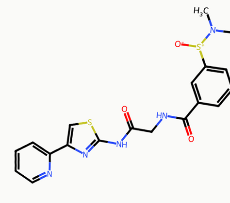 CN(C)[S+]([O-])c1cccc(C(=O)NCC(=O)Nc2nc(-c3ccccn3)cs2)c1